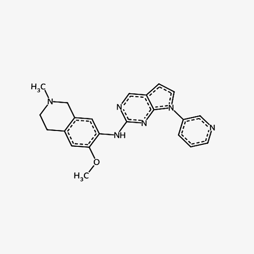 COc1cc2c(cc1Nc1ncc3ccn(-c4cccnc4)c3n1)CN(C)CC2